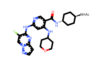 CC(=O)N[C@H]1CC[C@H](NC(=O)c2cnc(Nc3nc4ccnn4cc3F)cc2NC2CCOCC2)CC1